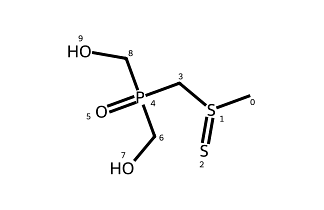 CS(=S)CP(=O)(CO)CO